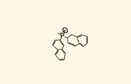 CP(=O)(c1ccc2ccccc2c1)C1C=Cc2ccccc2C1